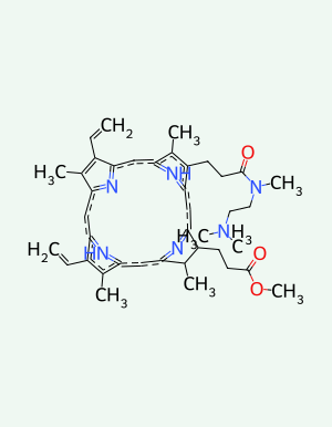 C=CC1=C(C)c2cc3[nH]c(cc4nc(cc5[nH]c(cc1n2)c(C)c5CCC(=O)N(C)CCN(C)C)C(CCC(=O)OC)C4C)c(C)c3C=C